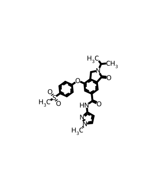 CC(C)N1Cc2c(Oc3ccc(S(C)(=O)=O)cc3)cc(C(=O)Nc3ccn(C)n3)cc2C1=O